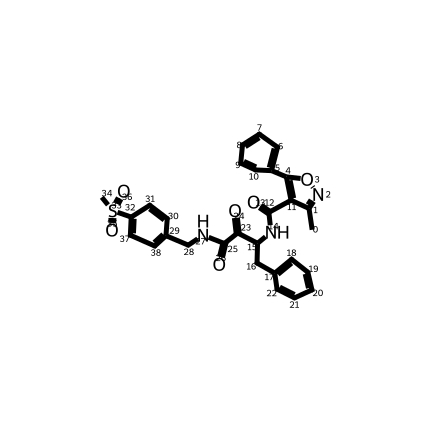 Cc1noc(-c2ccccc2)c1C(=O)NC(Cc1ccccc1)C(=O)C(=O)NCc1ccc(S(C)(=O)=O)cc1